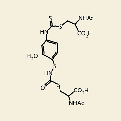 CC(=O)NC(CSC(=O)NSc1ccc(NC(=S)SCC(NC(C)=O)C(=O)O)cc1)C(=O)O.O